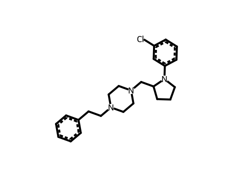 Clc1cccc(N2CCCC2CN2CCN(CCc3ccccc3)CC2)c1